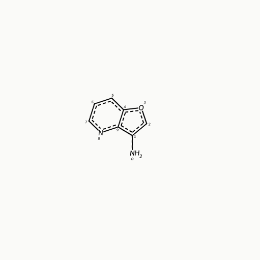 Nc1coc2cccnc12